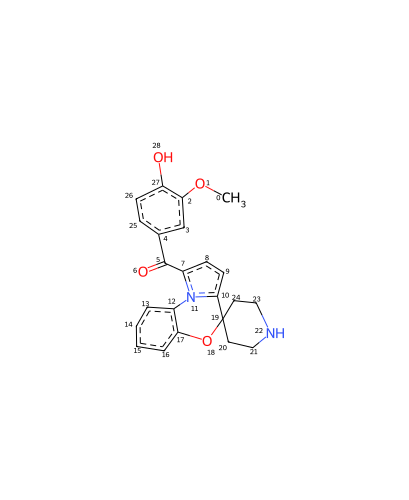 COc1cc(C(=O)c2ccc3n2-c2ccccc2OC32CCNCC2)ccc1O